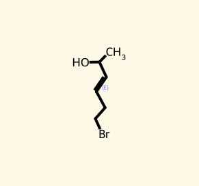 CC(O)/C=C/CCBr